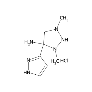 CN1CC(N)(c2cc[nH]n2)N(C)N1.Cl